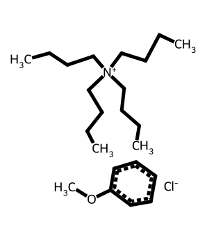 CCCC[N+](CCCC)(CCCC)CCCC.COc1ccccc1.[Cl-]